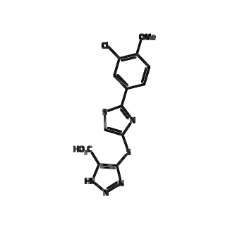 COc1ccc(-c2nc(Sc3nn[nH]c3C(=O)O)cs2)cc1Cl